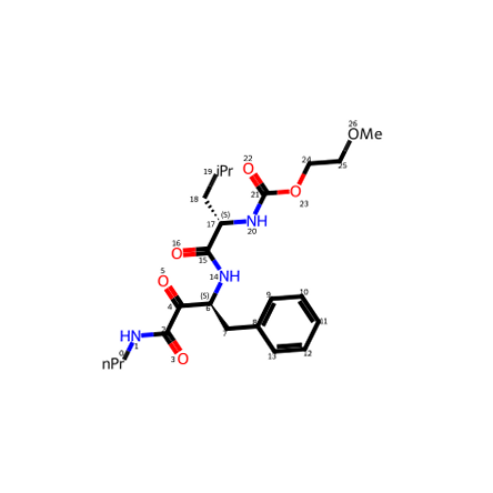 CCCNC(=O)C(=O)[C@H](Cc1ccccc1)NC(=O)[C@H](CC(C)C)NC(=O)OCCOC